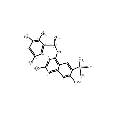 COc1cc2nc(C)nc(N[C@H](C)c3cc(N)cc(C(F)(F)F)c3C)c2cc1P(C)(C)=O